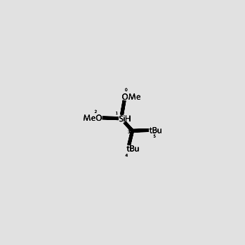 CO[SiH](OC)C(C(C)(C)C)C(C)(C)C